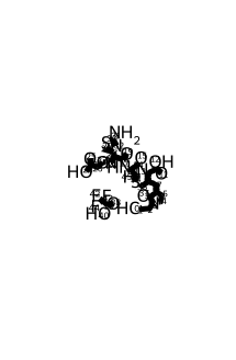 C#CCN1CCC(=CC2=C(C(=O)O)N3C(=O)[C@@H](NC(=O)C(=NOCC(=O)O)c4csc(N)n4)[C@H]3SC2)C1=O.O=C(O)C(F)(F)F